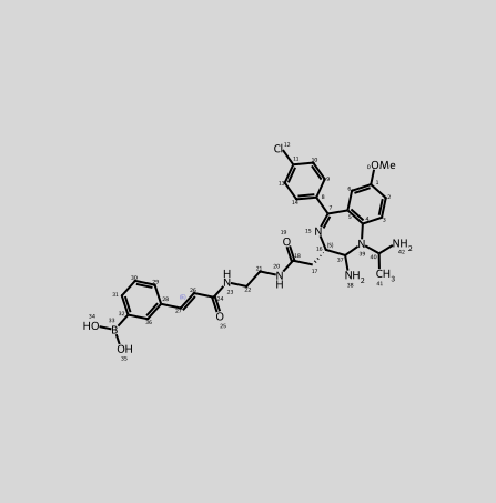 COc1ccc2c(c1)C(c1ccc(Cl)cc1)=N[C@@H](CC(=O)NCCNC(=O)/C=C/c1cccc(B(O)O)c1)C(N)N2C(C)N